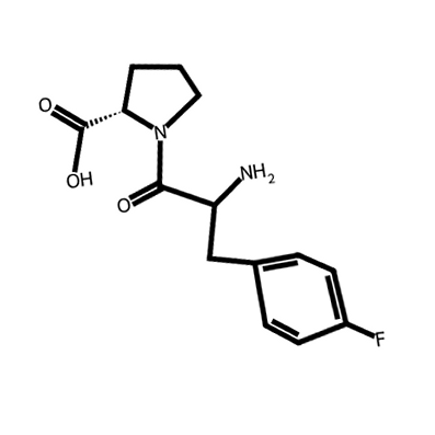 NC(Cc1ccc(F)cc1)C(=O)N1CCC[C@H]1C(=O)O